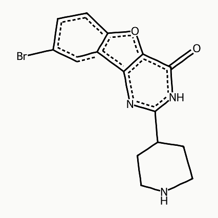 O=c1[nH]c(C2CCNCC2)nc2c1oc1ccc(Br)cc12